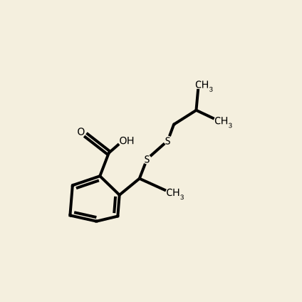 CC(C)CSSC(C)c1ccccc1C(=O)O